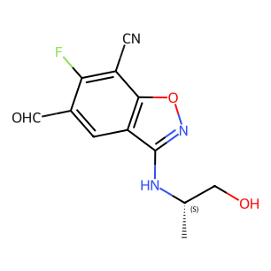 C[C@@H](CO)Nc1noc2c(C#N)c(F)c(C=O)cc12